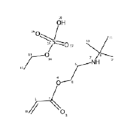 C=CC(=O)OCCNC(C)(C)C.CCOS(=O)(=O)O